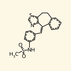 CS(=O)(=O)Nc1cccc(/C=C2/c3ccccc3CCc3scnc32)c1